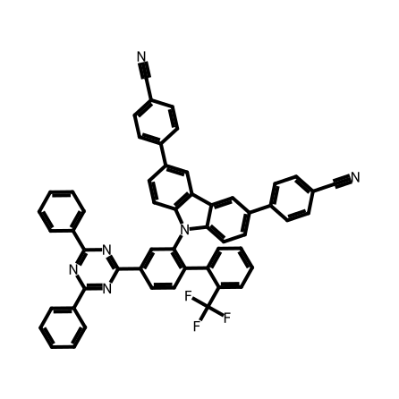 N#Cc1ccc(-c2ccc3c(c2)c2cc(-c4ccc(C#N)cc4)ccc2n3-c2cc(-c3nc(-c4ccccc4)nc(-c4ccccc4)n3)ccc2-c2ccccc2C(F)(F)F)cc1